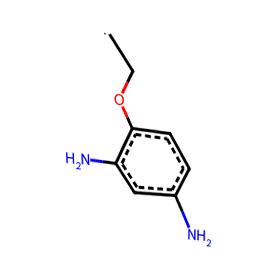 [CH2]COc1ccc(N)cc1N